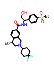 CC[C@@H]1CN(C2CCC(F)(F)CC2)Cc2cc(C(=O)N[C@@H](CO)c3ccc(S(=O)(=O)CC)cc3)ccc21